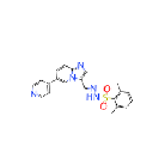 Cc1cccc(C)c1S(=O)(=O)NN=Cc1cnc2ccc(-c3ccncc3)cn12